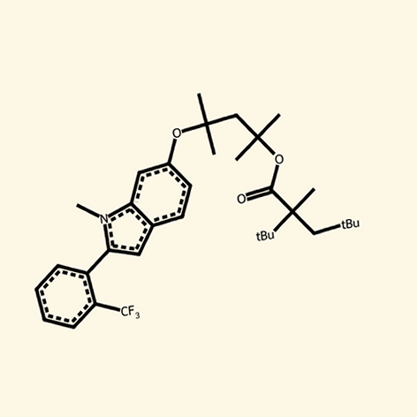 Cn1c(-c2ccccc2C(F)(F)F)cc2ccc(OC(C)(C)CC(C)(C)OC(=O)C(C)(CC(C)(C)C)C(C)(C)C)cc21